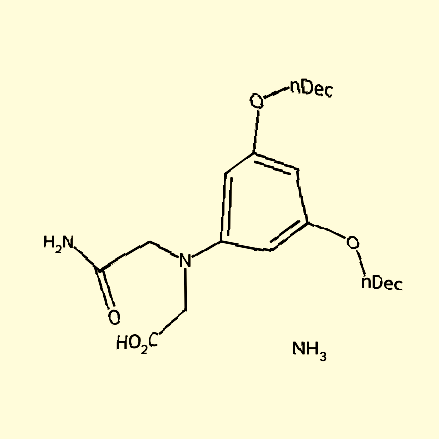 CCCCCCCCCCOc1cc(OCCCCCCCCCC)cc(N(CC(N)=O)CC(=O)O)c1.N